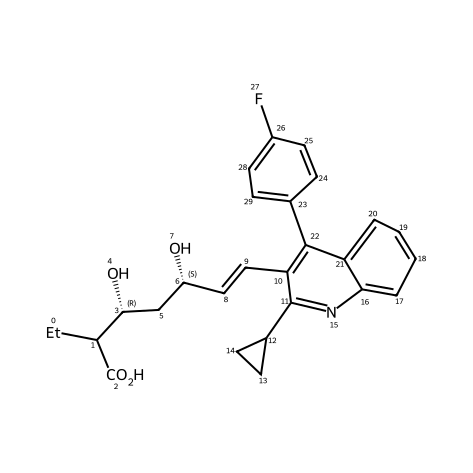 CCC(C(=O)O)[C@H](O)C[C@H](O)C=Cc1c(C2CC2)nc2ccccc2c1-c1ccc(F)cc1